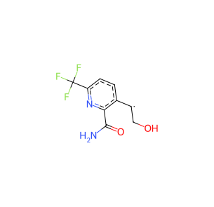 NC(=O)c1nc(C(F)(F)F)ccc1[CH]CO